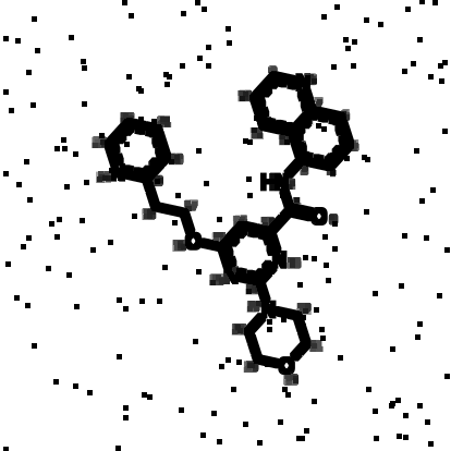 O=C(Nc1cccc2ncccc12)c1cc(OCCc2ccccn2)nc(N2CCOCC2)n1